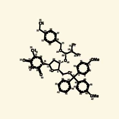 COc1ccc(C(OC[C@H]2O[C@@H](n3cc(C)c(=O)[nH]c3=O)C[C@@H]2OP(OCc2ccc(CC#N)cc2)N(C(C)C)C(C)C)(c2ccccc2)c2ccc(OC)cc2)cc1